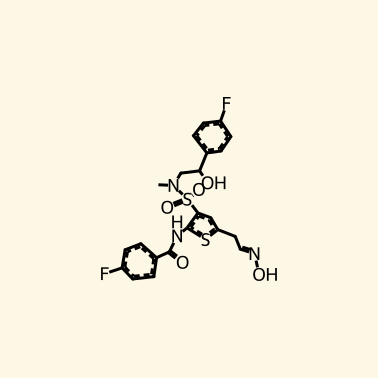 CN(CC(O)c1ccc(F)cc1)S(=O)(=O)c1cc(CC=NO)sc1NC(=O)c1ccc(F)cc1